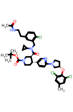 CC(=O)NCCc1ccc(Cl)c(CN(C(=O)[C@@H]2CN(C(=O)OC(C)(C)C)CC[C@H]2c2ccc(N3CC[C@H](Oc4c(Cl)cc(C)cc4Cl)C3)nc2)C2CC2)c1